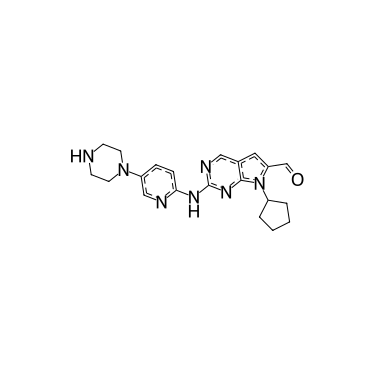 O=Cc1cc2cnc(Nc3ccc(N4CCNCC4)cn3)nc2n1C1CCCC1